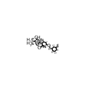 CC(NC(=O)c1ccc(OCc2cccc(F)c2)nc1Cl)C(C)(C)C